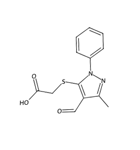 Cc1nn(-c2ccccc2)c(SCC(=O)O)c1C=O